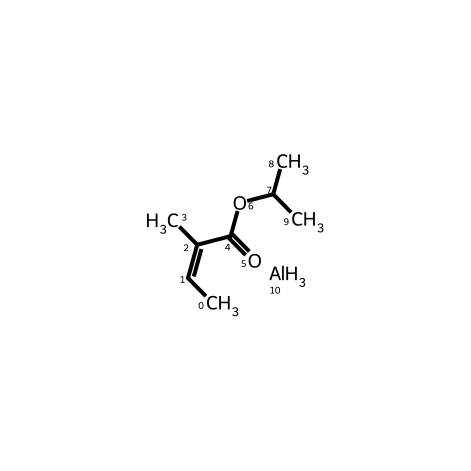 CC=C(C)C(=O)OC(C)C.[AlH3]